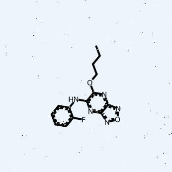 CCCCOc1nc2nonc2nc1Nc1ccccc1F